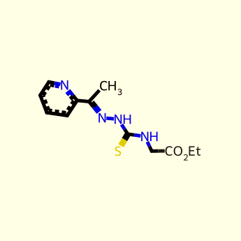 CCOC(=O)CNC(=S)N/N=C(\C)c1ccccn1